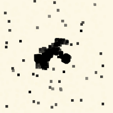 CCCCc1nc2c(n1Cc1ccc(-c3ccccc3-c3nnn[nH]3)cc1)CN(CCc1ccccc1)CN2CCOC